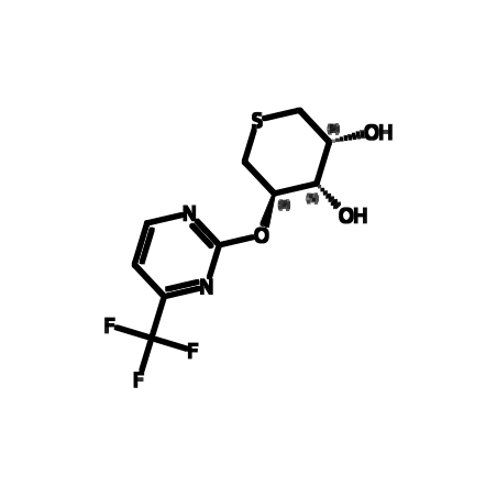 O[C@@H]1[C@@H](Oc2nccc(C(F)(F)F)n2)CSC[C@@H]1O